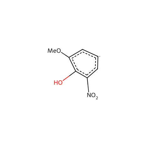 COc1c[c]cc([N+](=O)[O-])c1O